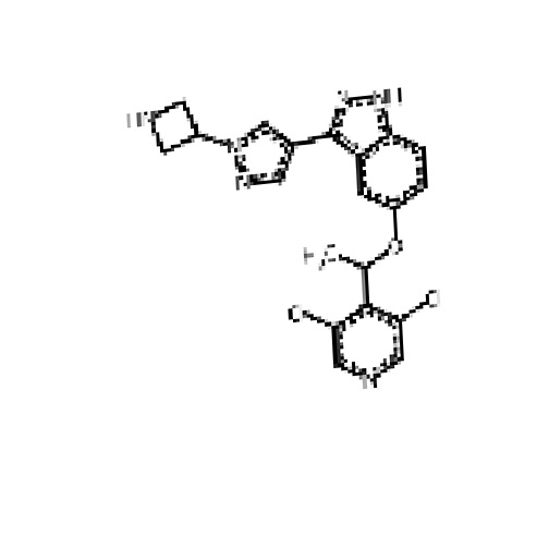 CC(Oc1ccc2[nH]nc(-c3cnn(C4CNC4)c3)c2c1)c1c(Cl)cncc1Cl